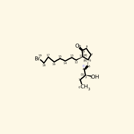 CC[C@H](O)/C=C/[C@H]1CCC(=O)[C@@H]1CCCCCCCBr